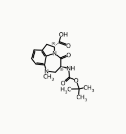 CN1C[C@H](NC(=O)OC(C)(C)C)C(=O)N2c3c(cccc31)C[C@@H]2C(=O)O